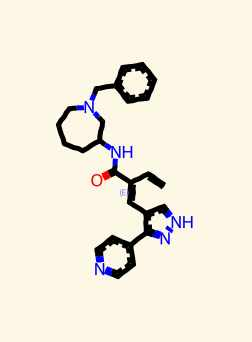 C=C/C(=C\c1c[nH]nc1-c1ccncc1)C(=O)NC1CCCCN(Cc2ccccc2)C1